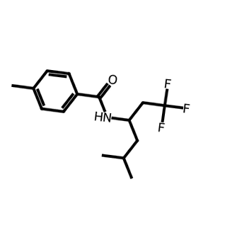 Cc1ccc(C(=O)NC(CC(C)C)CC(F)(F)F)cc1